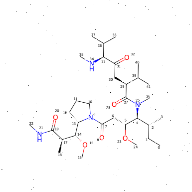 CC[C@@H](C)[C@@H]([C@@H](CC(=O)N1CCC[C@H]1[C@H](OC)[C@@H](C)C(=O)NC)OC)N(C)C(=O)[C@@H](CC(=O)[C@@H](NC)C(C)C)C(C)C